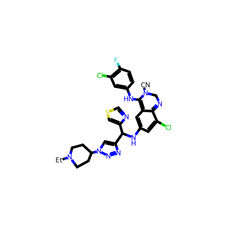 CCN1CCC(n2cc(C(Nc3cc(Cl)c4c(c3)=C(Nc3ccc(F)c(Cl)c3)N(C#N)CN=4)c3cscn3)nn2)CC1